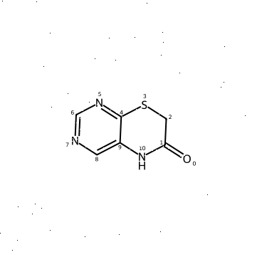 O=C1CSc2ncncc2N1